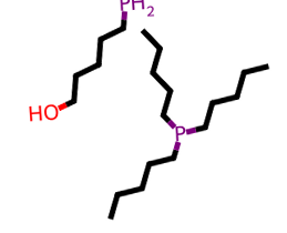 CCCCCP(CCCCC)CCCCC.OCCCCCP